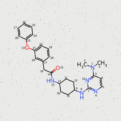 CN(C)c1ccnc(NC2CCC(NC(=O)Cc3cccc(Oc4ccccc4)c3)CC2)n1